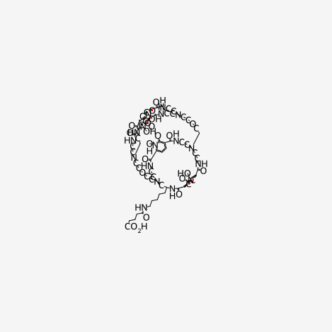 O=C(O)CCCC(=O)NCCCCCC1CN2CCNC(=O)c3ccc(c(=O)n3O)C(=O)NCCN(CCNC(=O)c3ccc(c(=O)n3O)C(=O)N1)CCOCCN1CCNC(=O)c3ccc(n(O)c3=O)C(=O)NCCN(CCNC(=O)c3ccc(n(O)c3=O)C(=O)NCC1)CCOCC2